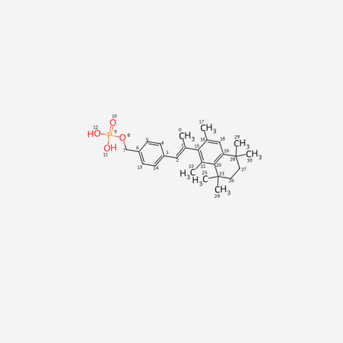 CC(=Cc1ccc(COP(=O)(O)O)cc1)c1c(C)cc2c(c1C)C(C)(C)CCC2(C)C